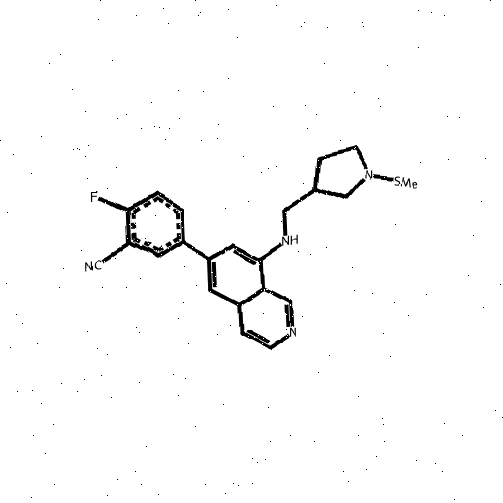 CSN1CCC(CNC2=CC(c3ccc(F)c(C#N)c3)=CC3C=CN=CC23)C1